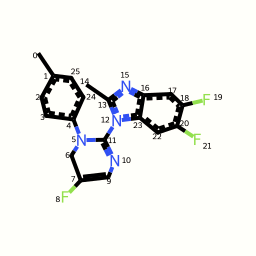 Cc1ccc(N2CC(F)=CN=C2n2c(C)nc3cc(F)c(F)cc32)cc1